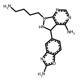 NCCCCN1NC(c2ccc3oc(N)nc3c2)c2c(N)ncnc21